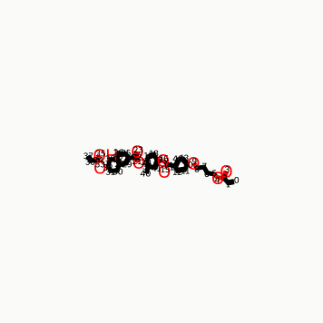 C=CC(=O)OCCCCOc1ccc(C(=O)Oc2ccc(OC(=O)c3ccc4c(c3)CCC(OC(O)C=C)C4)c(C)c2)cc1